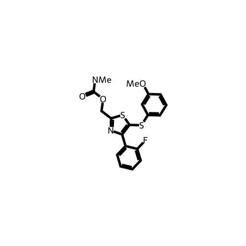 CNC(=O)OCc1nc(-c2ccccc2F)c(Sc2cccc(OC)c2)s1